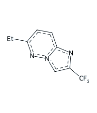 CCc1ccc2nc(C(F)(F)F)cn2n1